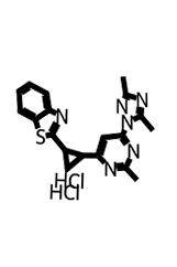 Cc1nc(C2CC2c2nc3ccccc3s2)cc(-n2nc(C)nc2C)n1.Cl.Cl